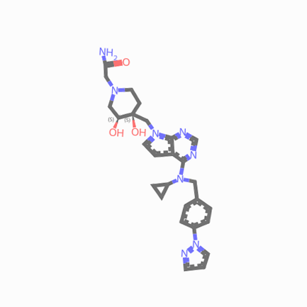 NC(=O)CN1CC[C@](O)(Cn2ccc3c(N(Cc4ccc(-n5cccn5)cc4)C4CC4)ncnc32)[C@@H](O)C1